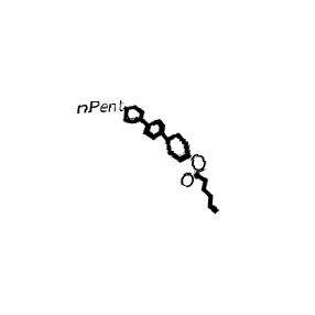 C=CCCCC(=O)OC1CCC(c2ccc(C34CCC(CCCCC)(CC3)CC4)cc2)CC1